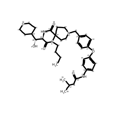 CCCCN1C(=O)[C@@H]([C@H](O)C2CCOCC2)NC(=O)C12CCN(Cc1ccc(Oc3ccc(NC(=O)CC(C)C)cc3)cc1)CC2